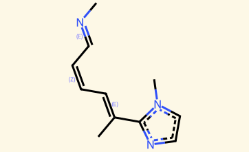 C/N=C/C=C\C=C(/C)c1nccn1C